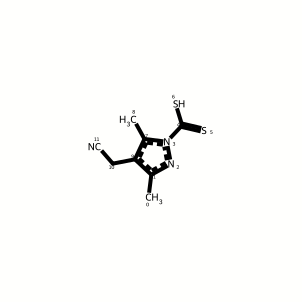 Cc1nn(C(=S)S)c(C)c1CC#N